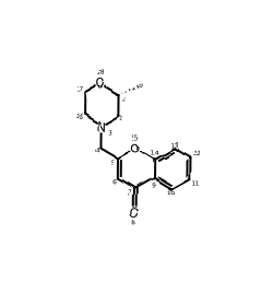 C[C@@H]1CN(Cc2cc(=O)c3ccccc3o2)CCO1